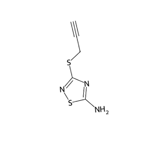 C#CCSc1nsc(N)n1